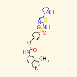 Cc1cncc2ccc(NC(=O)[C@@H]3C[C@H]3c3ccc(S(=O)(=O)Nc4ncc(C5CCCN5)s4)cc3)cc12